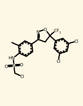 Cc1cc(C2=NOC(c3cc(Cl)cc(Cl)c3)(C(F)(F)F)C2)ccc1NS(=O)(=O)CCl